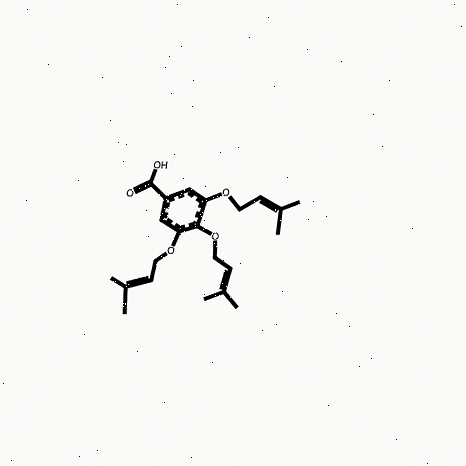 CC(C)=CCOc1cc(C(=O)O)cc(OCC=C(C)C)c1OCC=C(C)C